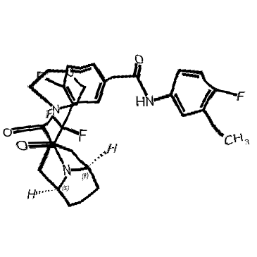 Cc1cc(NC(=O)c2ccc(F)c(C(F)(F)C(=O)N3[C@@H]4CC[C@H]3CC(C(=O)N3CCOCC3)C4)c2)ccc1F